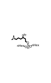 CCCCCCO[SiH](OCCCCCC)OCCC(CCC)CCCN(C)C